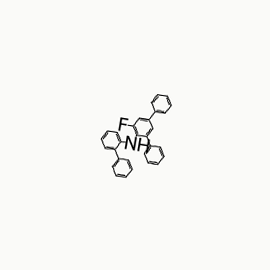 Fc1cc(-c2ccccc2)cc(-c2ccccc2)c1Nc1ccccc1-c1ccccc1